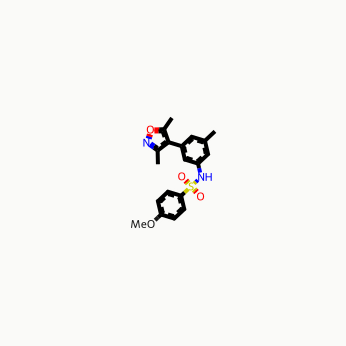 COc1ccc(S(=O)(=O)Nc2cc(C)cc(-c3c(C)noc3C)c2)cc1